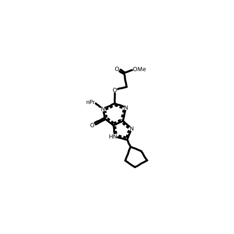 CCCn1c(OCC(=O)OC)nc2nc(C3CCCC3)[nH]c2c1=O